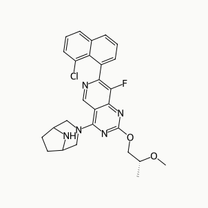 CO[C@H](C)COc1nc(N2CC3CCC(C2)N3)c2cnc(-c3cccc4cccc(Cl)c34)c(F)c2n1